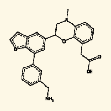 CN1CC(c2cc(-c3cccc(CN)c3)c3occc3c2)Oc2c(CC(=O)O)cccc21